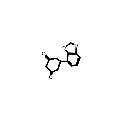 O=C1CC(=O)CC(c2cccc3c2OCO3)C1